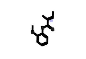 C/C=C(\C)C(=O)Oc1ccccc1OC